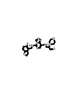 O=CC(CNc1cnc(NCc2c(F)ccc3c2CCO3)n2cnnc12)N1CCOCC1